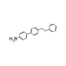 Bc1ccc(-c2ccc(CCc3ccccc3)cc2)cc1